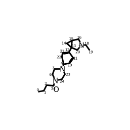 CCCC(=O)N1CCN(C2C=CC(C34CC3CN(CC)C4)=CC2)CC1